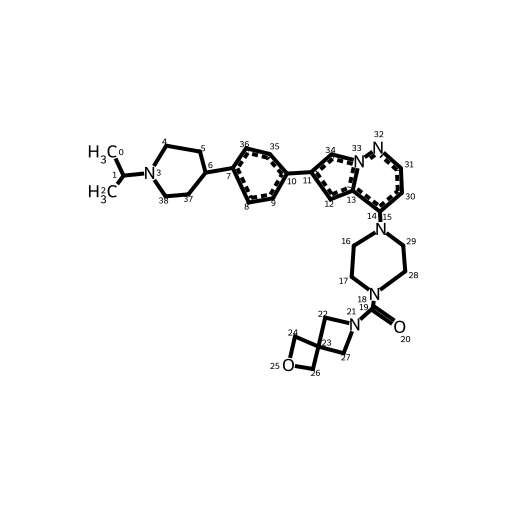 CC(C)N1CCC(c2ccc(-c3cc4c(N5CCN(C(=O)N6CC7(COC7)C6)CC5)ccnn4c3)cc2)CC1